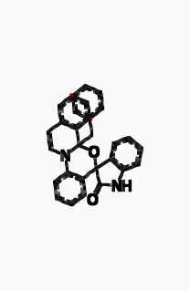 O=C1Nc2ccccc2C12OC1(Cc3ccccc3)c3ccccc3C=CN1c1ccccc12